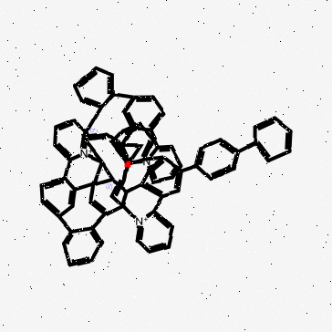 C1=C2c3ccccc3-c3ccc4c(c3)C13C1C5c6cc7c(-c8ccc(-c9ccccc9)cc8)cc6-c6cccc[n+]6C25/C=C(/c2ccccc2-7)C25CC26/C=C(/c2ccccc2-c2ccc(c6c2)-c2cccc[n+]25)C13[n+]1ccccc1-4